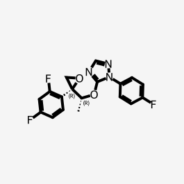 C[C@@H](Oc1ncnn1-c1ccc(F)cc1)[C@@]1(c2ccc(F)cc2F)CO1